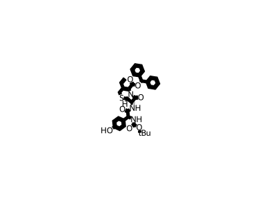 C=CC1=C(C(=O)OC(c2ccccc2)c2ccccc2)N2C(=O)[C@@H](NC(=O)C(NC(=O)OC(C)(C)C)c3ccc(O)cc3)[C@H]2SC1